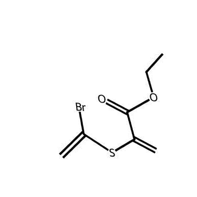 C=C(Br)SC(=C)C(=O)OCC